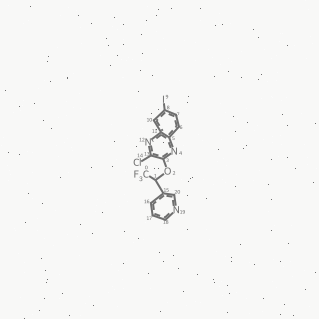 FC(F)(F)C(Oc1nc2ccc(I)cc2nc1Cl)c1cccnc1